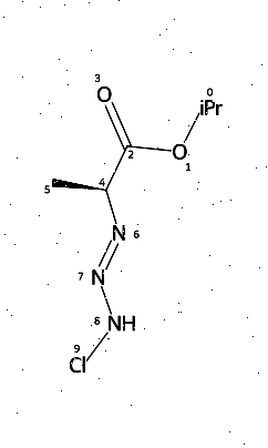 CC(C)OC(=O)[C@H](C)N=NNCl